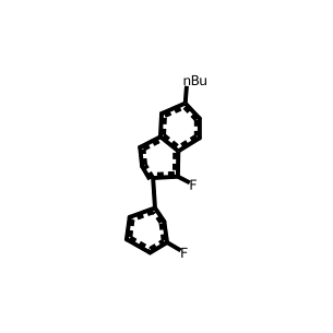 CCCCc1ccc2c(F)c(-c3cccc(F)c3)ccc2c1